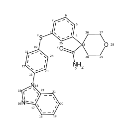 NC(=O)C1(c2cccc(Sc3ccc(-n4cnc5ccccc54)cc3)c2)CCOCC1